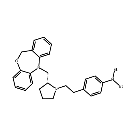 CCN(CC)c1ccc(CCN2CCC[C@@H]2CN2c3ccccc3COc3ccccc32)cc1